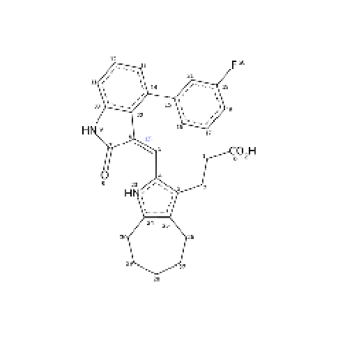 O=C(O)CCc1c(/C=C2\C(=O)Nc3cccc(-c4cccc(F)c4)c32)[nH]c2c1CCCCC2